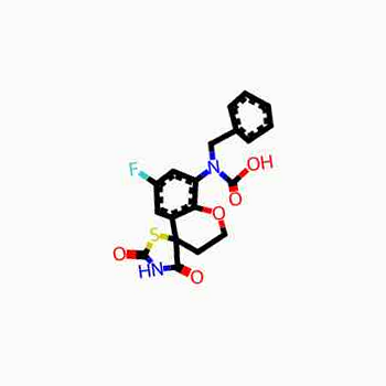 O=C1NC(=O)C2(CCOc3c(N(Cc4ccccc4)C(=O)O)cc(F)cc32)S1